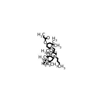 CCCCN(CC(O)CN1C(C)(C)CC(OC(=O)CC)CC1(C)C)C1CC(C)(C)N(OC)C(C)(C)C1